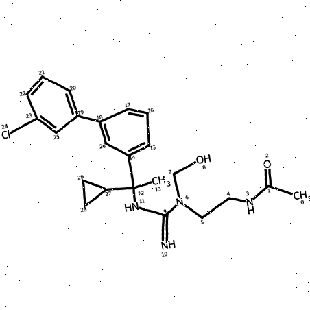 CC(=O)NCCN(CO)C(=N)NC(C)(c1cccc(-c2cccc(Cl)c2)c1)C1CC1